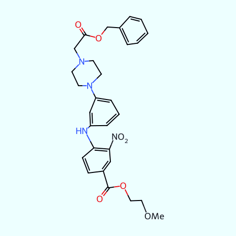 COCCOC(=O)c1ccc(Nc2cccc(N3CCN(CC(=O)OCc4ccccc4)CC3)c2)c([N+](=O)[O-])c1